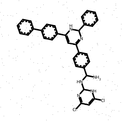 NC(NC1N=C(Cl)C=C(Cl)N1)c1ccc(C2=NC(c3ccccc3)NC(c3ccc(-c4ccccc4)cc3)=C2)cc1